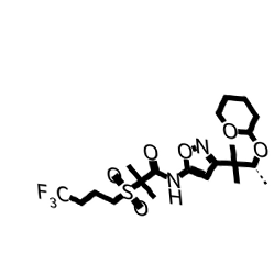 C[C@@H](OC1CCCCO1)C(C)(C)c1cc(NC(=O)C(C)(C)S(=O)(=O)CCCC(F)(F)F)on1